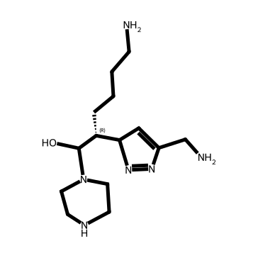 NCCCC[C@H](C1C=C(CN)N=N1)C(O)N1CCNCC1